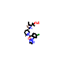 Cc1sc([C@@H]2CC[C@@H](C)N(C(=O)c3ccc(F)cc3-n3nccn3)C2)nc1C(C)(C)O